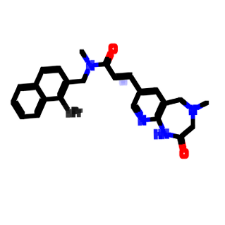 CCCc1c(CN(C)C(=O)/C=C/c2cnc3c(c2)CN(C)CC(=O)N3)ccc2ccccc12